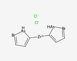 [CH]1=[Bi][AsH][C]([Zr+2][C]2=C[CH]=[Bi][AsH]2)=C1.[Cl-].[Cl-]